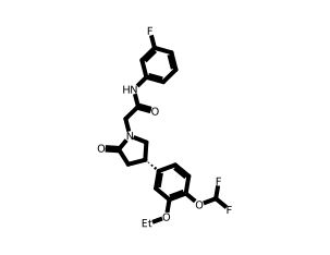 CCOc1cc([C@@H]2CC(=O)N(CC(=O)Nc3cccc(F)c3)C2)ccc1OC(F)F